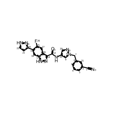 N#Cc1cccc(Cn2cc(NC(=O)c3n[nH]c4cc(-c5cc[nH]n5)c(F)cc34)cn2)c1